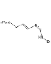 CCCCCC/C=C/N=N\NCC